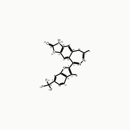 CC1=NN=C(c2sc3cc(C(F)(F)F)ccc3c2C)c2cc3oc(=O)[nH]c3cc2C1